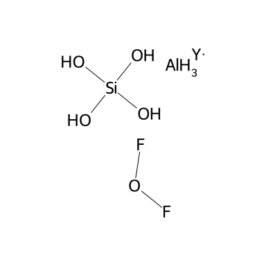 FOF.O[Si](O)(O)O.[AlH3].[Y]